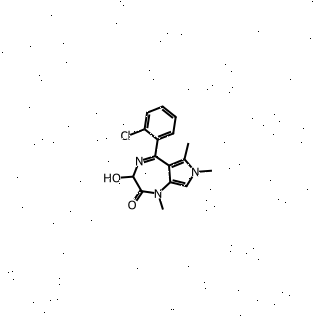 Cc1c2c(cn1C)N(C)C(=O)C(O)N=C2c1ccccc1Cl